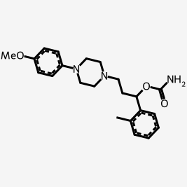 COc1ccc(N2CCN(CCC(OC(N)=O)c3ccccc3C)CC2)cc1